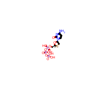 Nc1ccn([C@H]2CS[C@@H](COP(=O)(O)OP(=O)(O)OP(=O)(O)O)O2)c(=O)n1